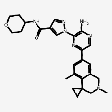 Cc1cc(-c2cnc(N)c(-n3cc(C(=O)NC4CCOCC4)cn3)n2)cc2c1C1(CC1)CN(C)C2